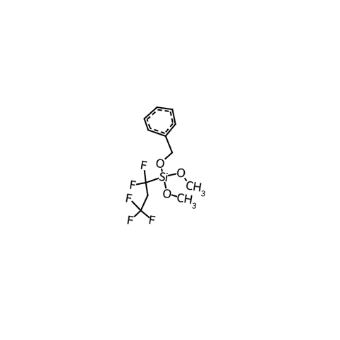 CO[Si](OC)(OCc1ccccc1)C(F)(F)CC(F)(F)F